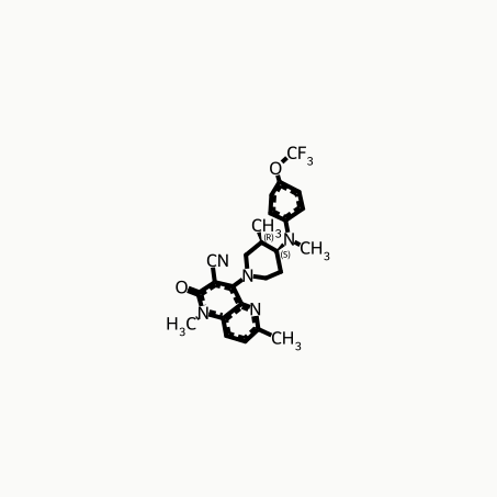 Cc1ccc2c(n1)c(N1CC[C@H](N(C)c3ccc(OC(F)(F)F)cc3)[C@H](C)C1)c(C#N)c(=O)n2C